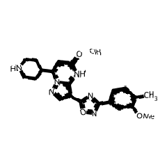 COc1cc(-c2noc(-c3cnn4c(C5CCNCC5)cc(=O)[nH]c34)n2)ccc1C.Cl